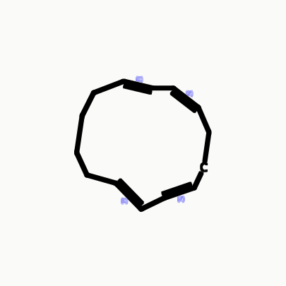 C1=C\CC/C=C\C=C\CCCC/C=C/1